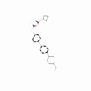 O=C(O)CC1CCC(c2ccc(-c3ccc(Nc4nnc(C5CCC5)o4)cc3)cc2)CO1